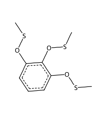 CSOc1cccc(OSC)c1OSC